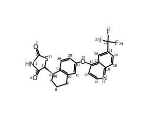 O=C1NC(=O)C([C@@H]2CCCc3cc(Oc4ccnc5ccc(C(F)(F)F)cc45)ccc32)S1